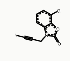 O=c1oc2c(Cl)cccc2n1CC#CI